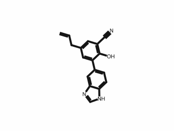 C=CCc1cc(C#N)c(O)c(-c2ccc3[nH]cnc3c2)c1